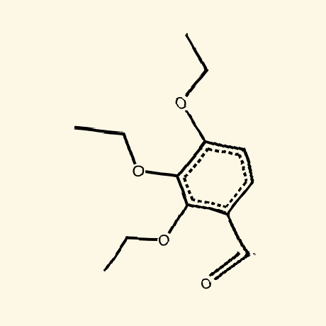 CCOc1ccc([C]=O)c(OCC)c1OCC